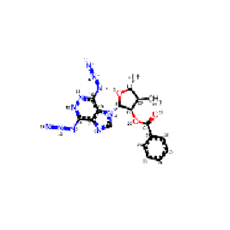 CC[C@H]1O[C@@H](n2cnc3c(N=[N+]=[N-])nnc(N=[N+]=[N-])c32)[C@H](OC(=O)c2ccccc2)[C@@H]1C